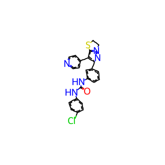 O=C(Nc1ccc(Cl)cc1)Nc1cccc(-c2nn3c(c2-c2ccncc2)SCC3)c1